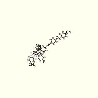 Cc1ccc(S(=O)(=O)OC(Cn2cnnn2)(c2ccc(F)cc2F)C(F)(F)c2ccc(C#Cc3ccc(OCc4ccc(C#N)cc4)cc3)cn2)cc1